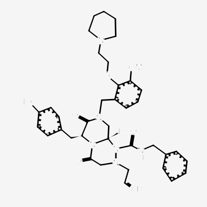 C=CCN1CC(=O)N2[C@@H](Cc3ccc(O)cc3)C(=O)N(Cc3cccc(OC)c3OCCN3CCCCC3)C[C@@H]2N1C(=O)NCc1ccccc1